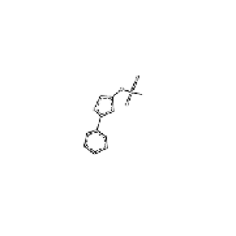 CS(=O)(=O)Oc1csc(-c2ccccc2)c1